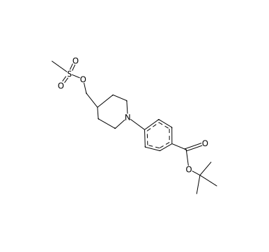 CC(C)(C)OC(=O)c1ccc(N2CCC(COS(C)(=O)=O)CC2)cc1